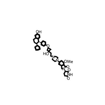 COc1cc(N2CCN(CCC3(O)CC(Oc4ccc([C@@H]5c6ccc(O)cc6CC[C@@H]5c5ccccc5)cc4)C3)CC2)cc2c1C(=O)N(C1CCC(=O)NC1=O)C2